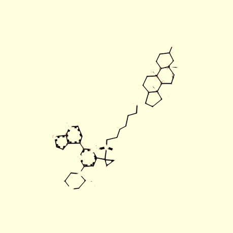 C[C@@H]1COCCN1c1cc(C2(S(=N)(=O)CCCCCCO[C@H]3CC[C@H]4[C@@H]5CC[C@H]6CC(O)CC[C@]6(C)[C@H]5CC[C@]34C)CC2)nc(-c2ccnc3[nH]ccc23)n1